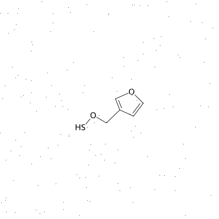 SOCc1ccoc1